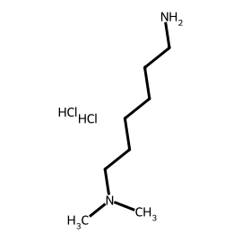 CN(C)CCCCCCN.Cl.Cl